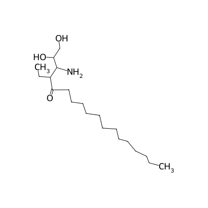 CCCCCCCCCCCCCC(=O)C(CC)C(N)C(O)CO